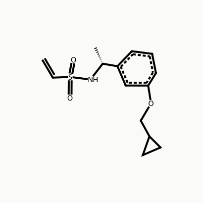 C=CS(=O)(=O)N[C@H](C)c1cccc(OCC2CC2)c1